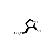 N=C1NCCC1=CC(=O)O